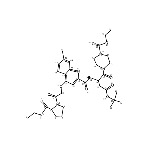 CCNC(=O)C1CCCN1C(=O)COc1cc(C(=O)NC(CC(=O)OC(C)(C)C)C(=O)N2CCN(C(=O)OCC)CC2)nc2cc(C)ccc12